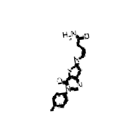 Cc1ccc(-n2cnc3c(c2=O)S/C(=N/C=C\CC(N)=O)C3)cc1